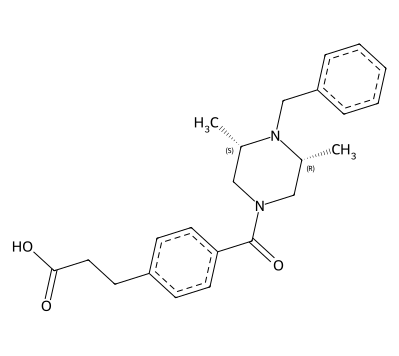 C[C@@H]1CN(C(=O)c2ccc(CCC(=O)O)cc2)C[C@H](C)N1Cc1ccccc1